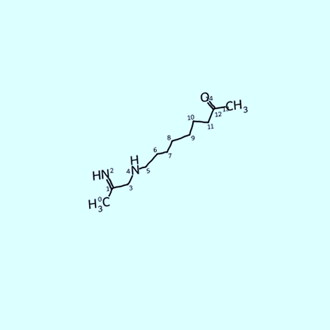 CC(=N)CNCCCCCCCC(C)=O